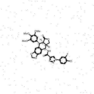 COc1cc([C@@H]2c3cc4c(cc3[C@@H](NC(=O)c3cn(-c5ccc(Cl)c(F)c5)nn3)[C@H]3COC(=O)[C@H]23)OCO4)cc(OC)c1OC